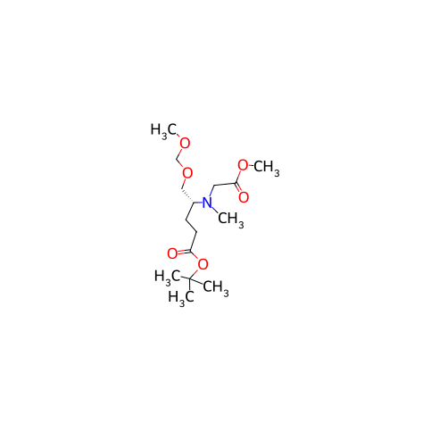 COCOC[C@@H](CCC(=O)OC(C)(C)C)N(C)CC(=O)OC